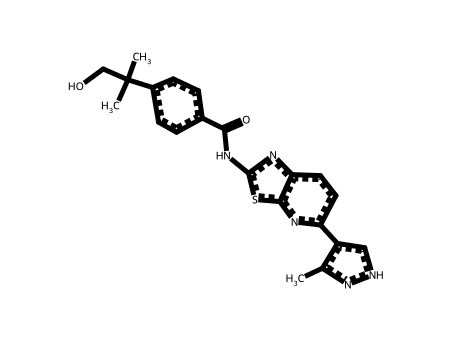 Cc1n[nH]cc1-c1ccc2nc(NC(=O)c3ccc(C(C)(C)CO)cc3)sc2n1